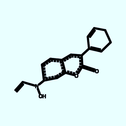 C=CN(O)c1ccc2cc(C3=CCCC=C3)c(=O)oc2c1